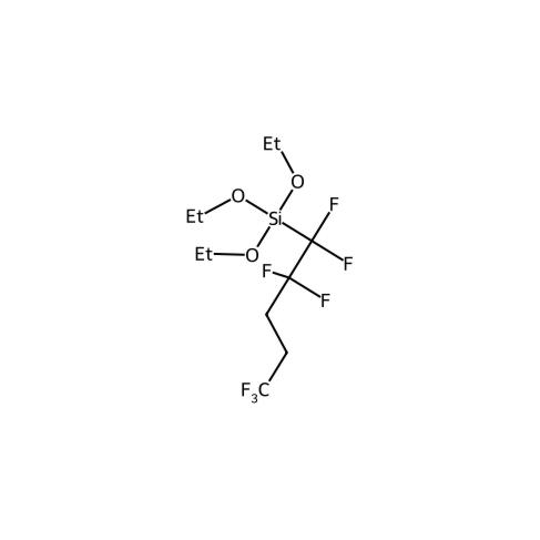 CCO[Si](OCC)(OCC)C(F)(F)C(F)(F)CCC(F)(F)F